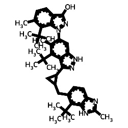 Cc1nc2ccc(CC3CC3c3n[nH]c4cc(-n5nc(O)c6ccc(C)c(C(C)(C)C)c65)c(C)c(C(C)(C)C)c34)c(C(C)(C)C)c2[nH]1